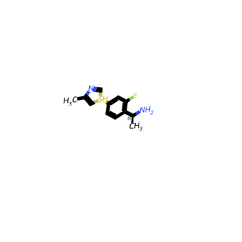 CC1=C[SH](c2ccc([C@H](C)N)c(F)c2)C=N1